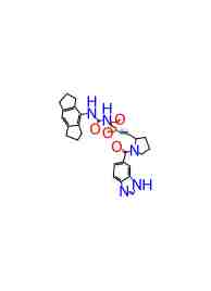 O=C(Nc1c2c(cc3c1CCC3)CCC2)NS(=O)(=O)/C=C/C1CCCN1C(=O)c1ccc2nc[nH]c2c1